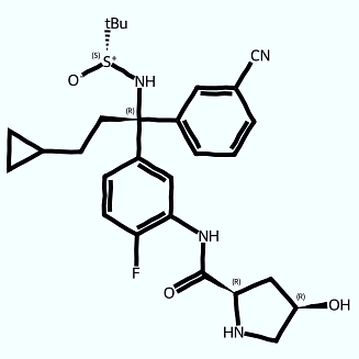 CC(C)(C)[S@@+]([O-])N[C@](CCC1CC1)(c1cccc(C#N)c1)c1ccc(F)c(NC(=O)[C@H]2C[C@@H](O)CN2)c1